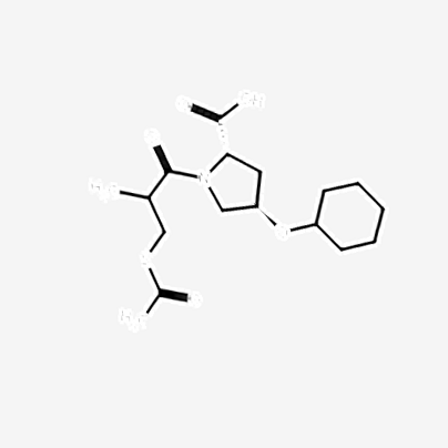 CC(=O)SCC(C)C(=O)N1C[C@H](OC2CCCCC2)C[C@H]1C(=O)O